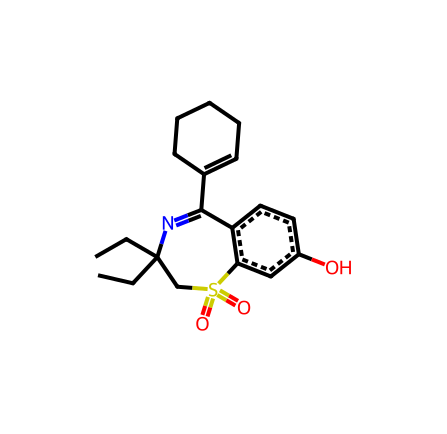 CCC1(CC)CS(=O)(=O)c2cc(O)ccc2C(C2=CCCCC2)=N1